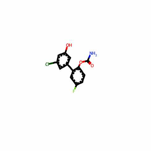 NC(=O)Oc1ccc(F)cc1-c1cc(O)cc(Cl)c1